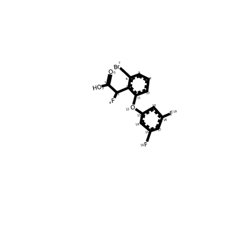 O=C(O)C(F)c1c(Br)cccc1Oc1cc(F)cc(F)c1